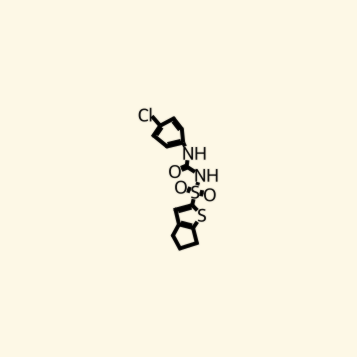 O=C(Nc1ccc(Cl)cc1)NS(=O)(=O)c1cc2c(s1)CCC2